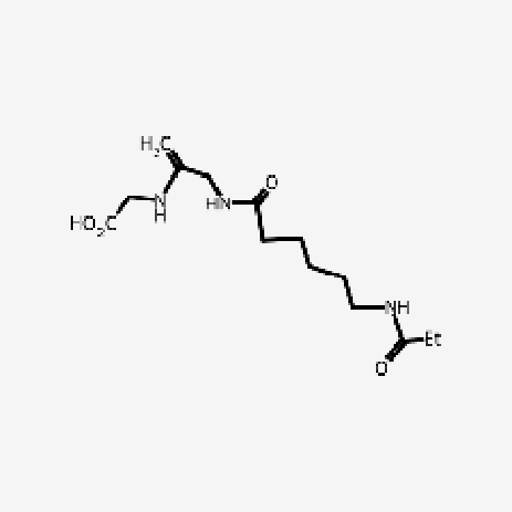 C=C(CNC(=O)CCCCCNC(=O)CC)NCC(=O)O